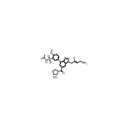 COc1ccc(-c2cc(C(=O)N3CCCC3)cc3c2nnn3C/C(F)=C/CN)cc1S(=O)(=O)NC(C)C.Cl